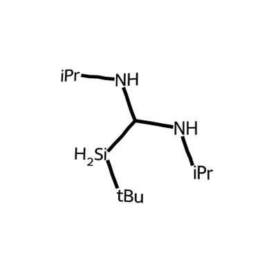 CC(C)NC(NC(C)C)[SiH2]C(C)(C)C